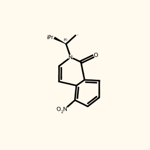 [CH2][C@H](C(C)C)n1ccc2c([N+](=O)[O-])cccc2c1=O